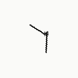 C[CH]c1nc(CCCCCCCCCCCCCCCCC)nc(CCCCCCCCCCCCCCCCC)n1